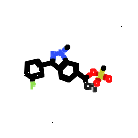 Cn1nc(-c2cccc(F)c2)c2ccc(C(OS(C)(=O)=O)C(F)(F)F)cc21